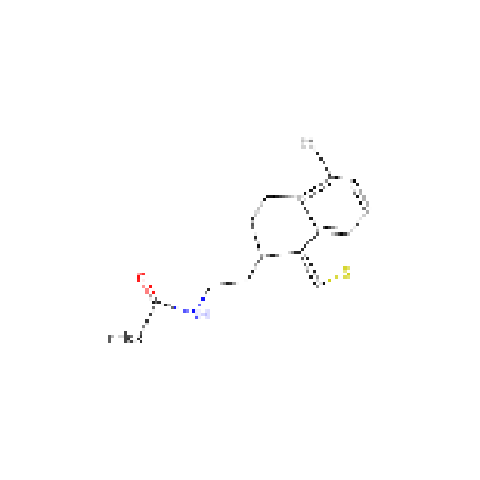 CCCCCCC(=O)NCCC1CCc2c(CC)ccc3scc1c23